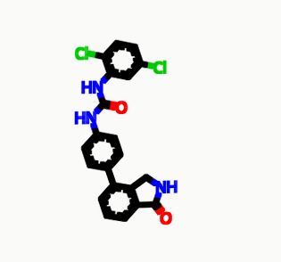 O=C(Nc1ccc(-c2cccc3c2CNC3=O)cc1)Nc1cc(Cl)ccc1Cl